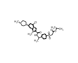 CC(C)OC(=O)CS(=O)(=O)c1ccc(C(C)NC(=O)c2cc3c(Cl)cc(N4CCN(C)CC4)cc3n2C)cc1